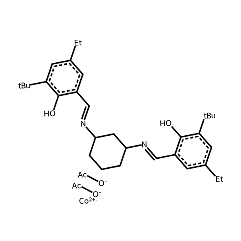 CC(=O)[O-].CC(=O)[O-].CCc1cc(C=NC2CCCC(N=Cc3cc(CC)cc(C(C)(C)C)c3O)C2)c(O)c(C(C)(C)C)c1.[Co+2]